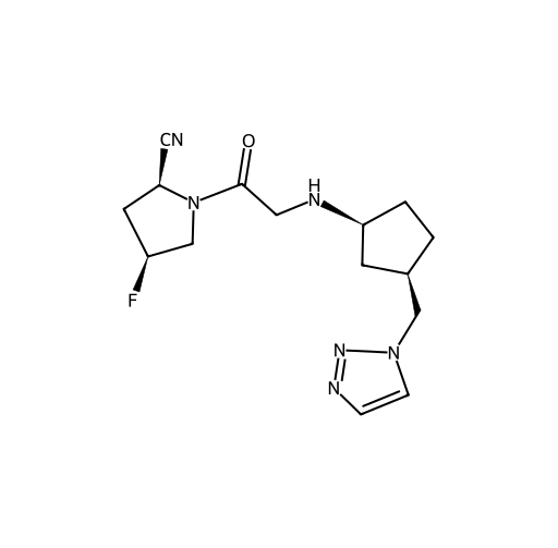 N#C[C@@H]1C[C@H](F)CN1C(=O)CN[C@H]1CC[C@@H](Cn2ccnn2)C1